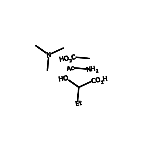 CC(=O)O.CC(N)=O.CCC(O)C(=O)O.CN(C)C